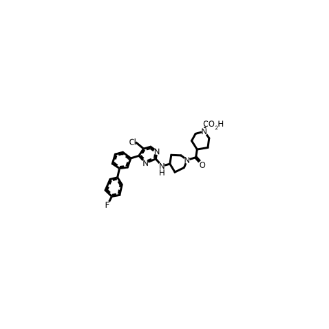 O=C(O)N1CCC(C(=O)N2CCC(Nc3ncc(Cl)c(-c4cccc(-c5ccc(F)cc5)c4)n3)CC2)CC1